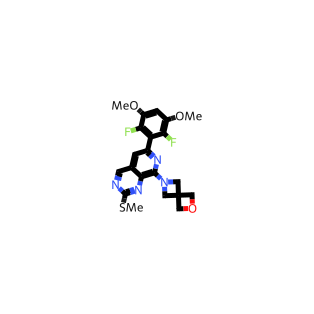 COc1cc(OC)c(F)c(-c2cc3cnc(SC)nc3c(N3CC4(COC4)C3)n2)c1F